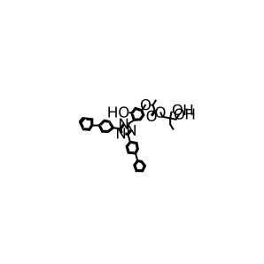 CCC(CO)(CO)COC(=O)C(C)Oc1ccc(-c2nc(-c3ccc(-c4cc#ccc4)cc3)nc(-c3ccc(-c4ccccc4)cc3)n2)c(O)c1